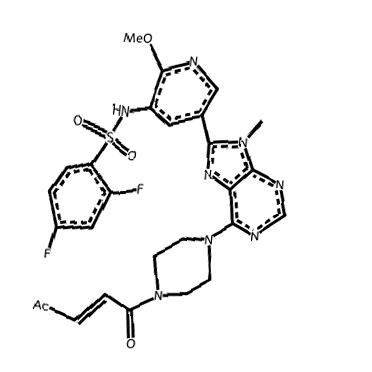 COc1ncc(-c2nc3c(N4CCN(C(=O)/C=C/C(C)=O)CC4)ncnc3n2C)cc1NS(=O)(=O)c1ccc(F)cc1F